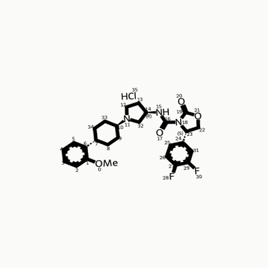 COc1ccccc1[C@H]1CC[C@H](N2CC[C@@H](NC(=O)N3C(=O)OC[C@@H]3c3ccc(F)c(F)c3)C2)CC1.Cl